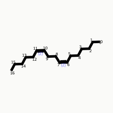 [CH2]CCCCC/C=C\CC/C=C\CCCCC